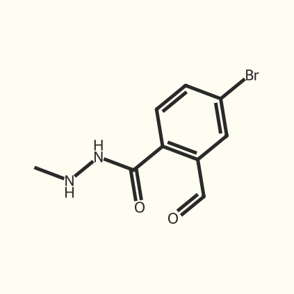 CNNC(=O)c1ccc(Br)cc1C=O